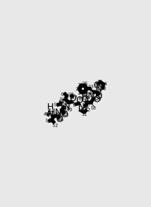 CC[C@H](C)[C@@H]([C@@H](CC(=O)N1CCC[C@H]1[C@H](OC)[C@@H](C)C(=O)N[C@@H](Cc1ccccc1)C(=O)N1CCCO1)OC)N(C)[C@H](C(=O)NC(=O)[C@@H](NC)C(C)C)C(C)C